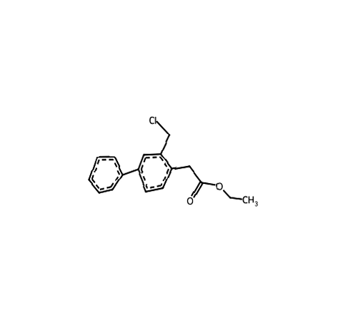 CCOC(=O)Cc1ccc(-c2ccccc2)cc1CCl